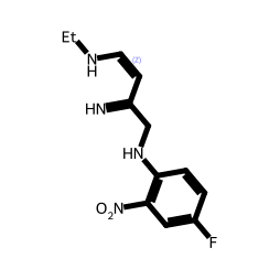 CCN/C=C\C(=N)CNc1ccc(F)cc1[N+](=O)[O-]